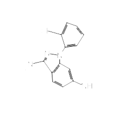 Nc1ccc2c(N)nn(-c3ccccc3Cl)c2c1